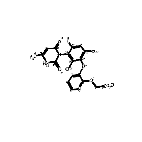 CCOC(=O)COc1ncccc1Oc1c(Cl)cc(F)c(-n2c(=O)cc(C(F)(F)F)[nH]c2=O)c1Cl